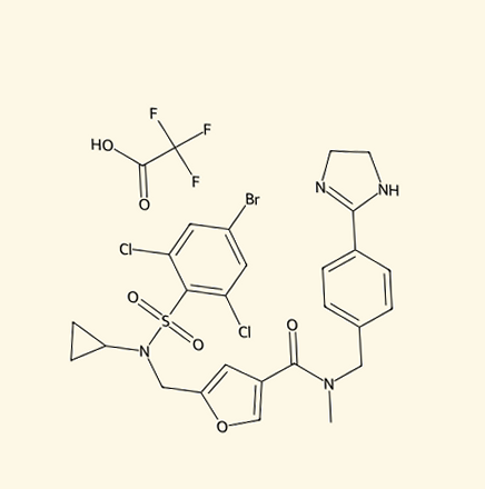 CN(Cc1ccc(C2=NCCN2)cc1)C(=O)c1coc(CN(C2CC2)S(=O)(=O)c2c(Cl)cc(Br)cc2Cl)c1.O=C(O)C(F)(F)F